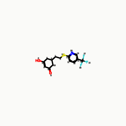 O=C1C=C(O)CC(CCSc2ccc(C(F)(F)F)cn2)C1